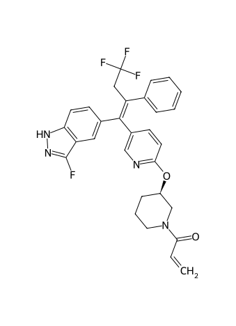 C=CC(=O)N1CCC[C@@H](Oc2ccc(/C(=C(/CC(F)(F)F)c3ccccc3)c3ccc4[nH]nc(F)c4c3)cn2)C1